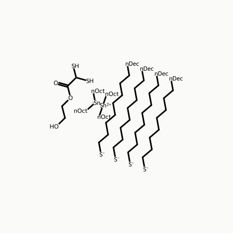 CCCCCCCCCCCCCCCCCC[S-].CCCCCCCCCCCCCCCCCC[S-].CCCCCCCCCCCCCCCCCC[S-].CCCCCCCCCCCCCCCCCC[S-].CCCCCCC[CH2][Sn+2][CH2]CCCCCCC.CCCCCCC[CH2][Sn][CH2]CCCCCCC.O=C(OCCO)C(S)S